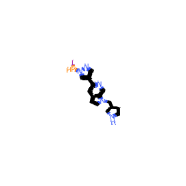 IPn1cc(-c2cc3ccn(CC4CCNC4)c3cn2)cn1